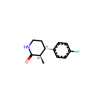 C[C@H]1C(=O)NCC[C@@H]1c1ccc(F)cc1